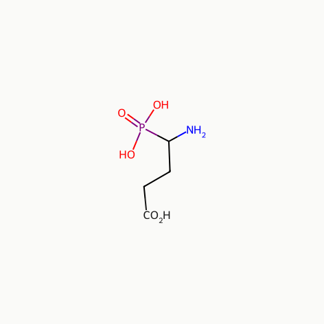 NC(CCC(=O)O)P(=O)(O)O